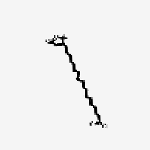 O=C1CC(CCCCCCCCCCCCCCCCCC(Cl)Cl)C(=O)O1